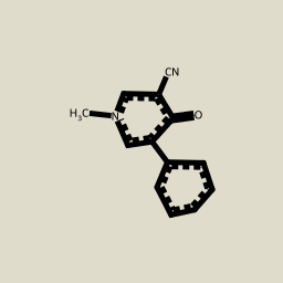 Cn1cc(C#N)c(=O)c(-c2ccccc2)c1